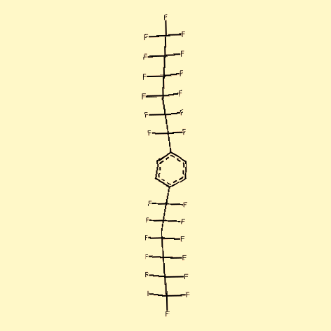 FC(F)(F)C(F)(F)C(F)(F)C(F)(F)C(F)(F)C(F)(F)c1ccc(C(F)(F)C(F)(F)C(F)(F)C(F)(F)C(F)(F)C(F)(F)I)cc1